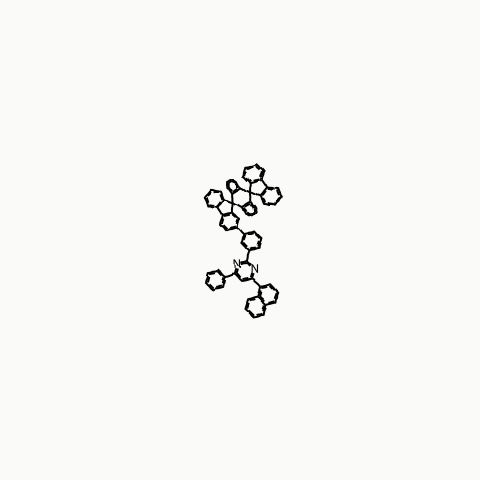 c1ccc(-c2cc(-c3cccc4ccccc34)nc(-c3cccc(-c4ccc5c(c4)C4(c6ccccc6-5)c5ccccc5C5(c6ccccc6-c6ccccc65)c5ccccc54)c3)n2)cc1